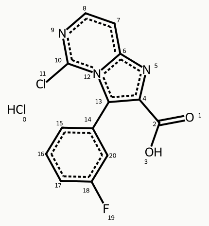 Cl.O=C(O)c1nc2ccnc(Cl)n2c1-c1cccc(F)c1